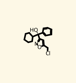 O[C@](c1ccccc1)(c1cc(CCl)on1)C1CCCCC1